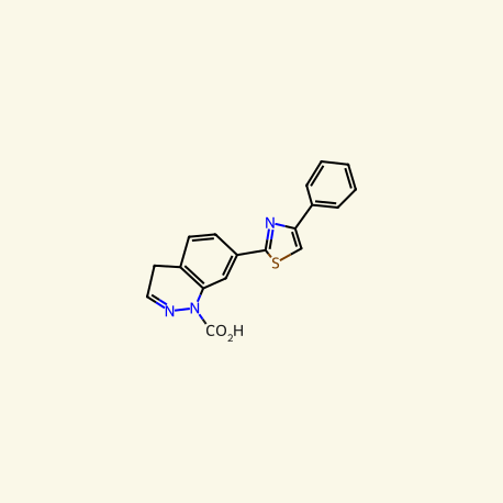 O=C(O)N1N=CCc2ccc(-c3nc(-c4ccccc4)cs3)cc21